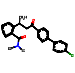 CCN(CC)C(=O)c1ccccc1C(CC(=O)c1ccc(-c2ccc(Cl)cc2)cc1)C(=O)O